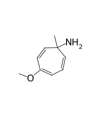 COC1=CC=CC(C)(N)C=C1